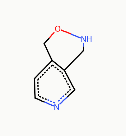 c1cc2c(cn1)CNOC2